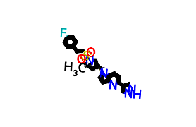 C[C@@H]1C[C@@H](Cn2ccc3nc(-c4cn[nH]c4)ccc32)CN1S(=O)(=O)CCc1ccc(F)cc1